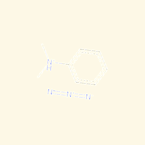 C[NH+](C)c1ccccc1.[N-]=[N+]=[N-]